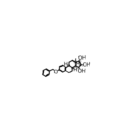 C[C@]12CC[C@@H]3c4ccc(OCc5ccccc5)cc4CC[C@H]3[C@@H]1[C@H](O)[C@@H](O)[C@@H]2O